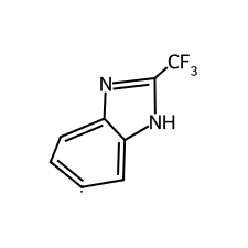 FC(F)(F)c1nc2cc[c]cc2[nH]1